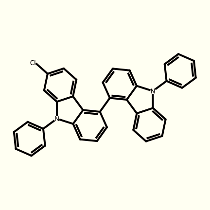 Clc1ccc2c3c(-c4cccc5c4c4ccccc4n5-c4ccccc4)cccc3n(-c3ccccc3)c2c1